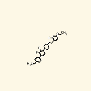 C=Cc1ccc(-c2ccc(C3CCC(CCc4ccc(OCC)cc4F)CC3)c(F)c2F)cc1